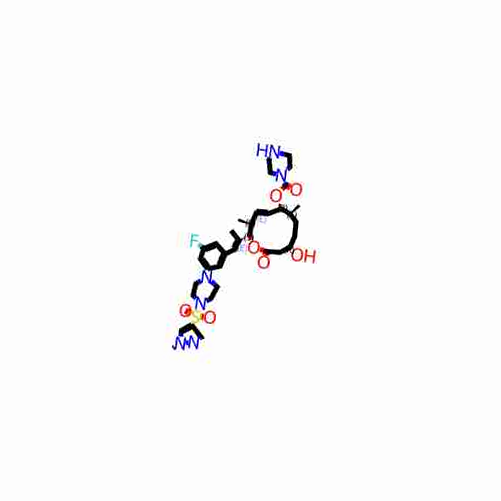 C/C(=C\c1cc(F)cc(N2CCN(S(=O)(=O)c3cnn(C)c3)CC2)c1)[C@H]1OC(=O)C[C@H](O)CC[C@H](C)[C@@H](OC(=O)N2CCNCC2)/C=C/[C@@H]1C